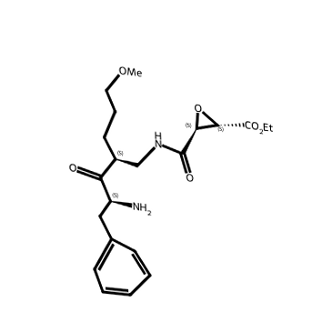 CCOC(=O)[C@H]1O[C@@H]1C(=O)NC[C@H](CCCOC)C(=O)[C@@H](N)Cc1ccccc1